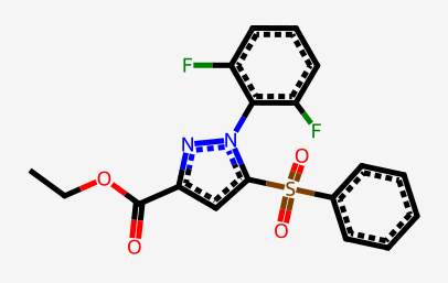 CCOC(=O)c1cc(S(=O)(=O)c2ccccc2)n(-c2c(F)cccc2F)n1